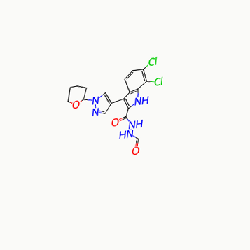 O=CNNC(=O)c1[nH]c2c(Cl)c(Cl)ccc2c1-c1cnn(C2CCCCO2)c1